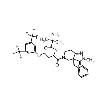 CN1N=C2CCN(C(=O)C(CCOc3cc(C(F)(F)F)cc(C(F)(F)F)c3)NC(=O)C(C)(C)N)C[C@@]2(Cc2ccccc2)C1=O